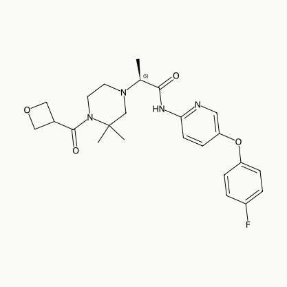 C[C@@H](C(=O)Nc1ccc(Oc2ccc(F)cc2)cn1)N1CCN(C(=O)C2COC2)C(C)(C)C1